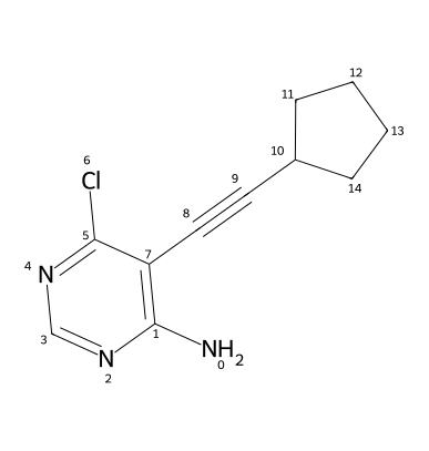 Nc1ncnc(Cl)c1C#CC1CCCC1